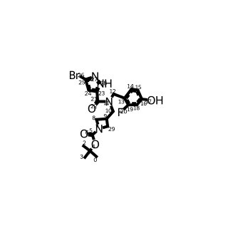 CC(C)(C)OC(=O)N1CC(CN(Cc2ccc(O)cc2F)C(=O)c2cc(Br)n[nH]2)C1